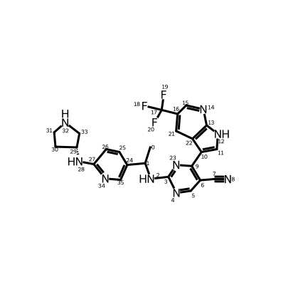 CC(Nc1ncc(C#N)c(-c2c[nH]c3ncc(C(F)(F)F)cc23)n1)c1ccc(N[C@@H]2CCNC2)nc1